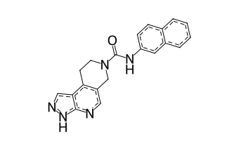 O=C(Nc1ccc2ccccc2c1)N1CCc2c(cnc3[nH]ncc23)C1